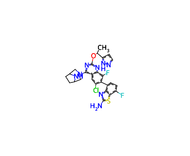 CC(Oc1nc(N2CC3CCC(C2)N3)c2cc(Cl)c(-c3ccc(F)c4sc(N)nc34)c(F)c2n1)c1ccn[nH]1